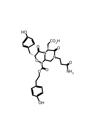 NC(=O)CCN1CC2N(C(=O)OCCc3ccc(O)cc3)O[C@H](Cc3ccc(O)cc3)C(=O)N2[C@@H](CC(=O)O)C1=O